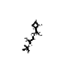 CC(C)(C)OC(=O)COC(=O)C1CCC1